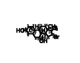 C[C@]12C=C[C@H](O)CC1C[C@H](O)[C@@H]1[C@@H]2CC[C@]2(C)C(=O)[C@H](Br)C[C@@H]12